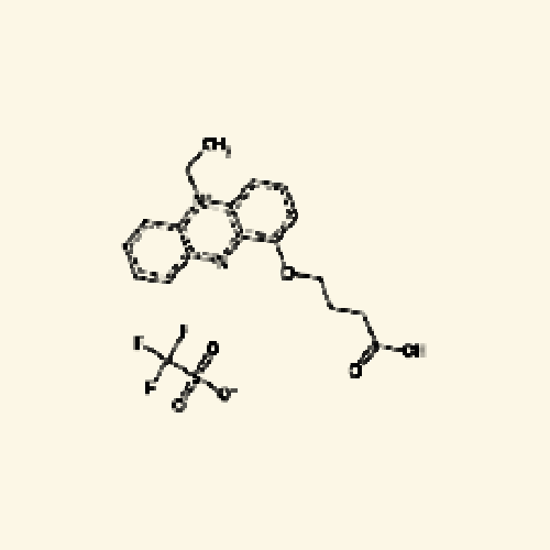 CC[n+]1c2ccccc2nc2c(OCCCC(=O)O)cccc21.O=S(=O)([O-])C(F)(F)F